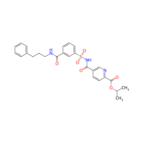 CC(C)OC(=O)c1ccc(C(=O)NS(=O)(=O)c2cccc(C(=O)NCCCc3ccccc3)c2)cn1